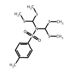 CSC(SC)N(C(SC)SC)S(=O)(=O)c1ccc(C)cc1